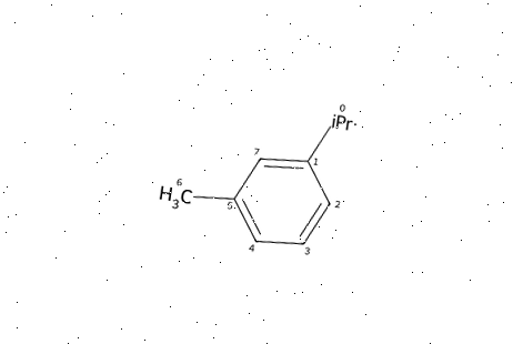 C[C](C)c1cccc(C)c1